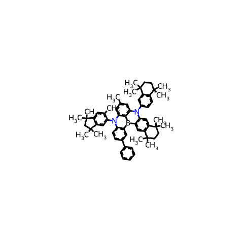 Cc1cc2c3c(c1)N(c1cc4c(cc1C)C(C)(C)CC4(C)C)c1ccc(-c4ccccc4)cc1B3c1cc3c(cc1N2c1ccc2c(c1)C(C)(C)CCC2(C)C)C(C)(C)CCC3(C)C